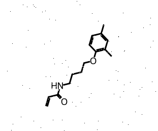 C=CC(=O)NCCCCOc1ccc(C)cc1C